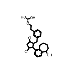 OC1CCCCc2c1cccc2C1C(Cl)CC(Cl)C1Cc1cccc(CCOP(O)O)c1